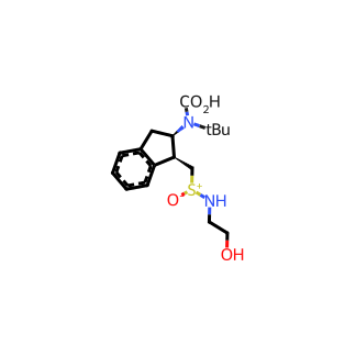 CC(C)(C)N(C(=O)O)[C@@H]1Cc2ccccc2[C@@H]1C[S+]([O-])NCCO